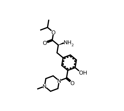 CC(C)OC(=O)[C@@H](N)Cc1ccc(O)c(C(=O)N2CCN(C)CC2)c1